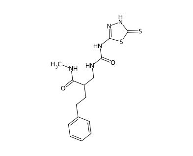 CNC(=O)C(CCc1ccccc1)CNC(=O)Nc1n[nH]c(=S)s1